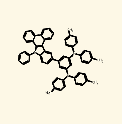 Cc1ccc(N(c2ccc(C)cc2)c2cc(-c3ccc4c(c3)c3c5ccccc5c5ccccc5c3n4-c3ccccc3)cc(N(c3ccc(C)cc3)c3ccc(C)cc3)c2)cc1